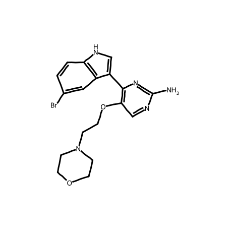 Nc1ncc(OCCN2CCOCC2)c(-c2c[nH]c3ccc(Br)cc23)n1